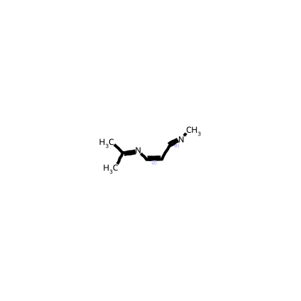 C/N=C/C=C\N=C(C)C